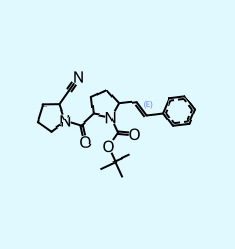 CC(C)(C)OC(=O)N1C(/C=C/c2ccccc2)CCC1C(=O)N1CCCC1C#N